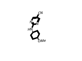 CO[C@H]1CC[C@H](Nc2ncc(C#N)cn2)CC1